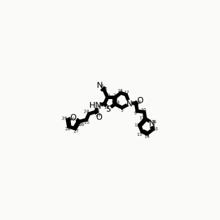 N#CC1C2=C(CN(C(=O)CCc3ccccn3)CC2)SC1NC(=O)CCc1ccco1